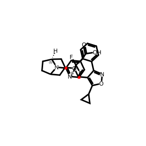 O=C(O)c1ccnc(N2C3CC[C@H]2CC(OCc2c(-c4ccccc4C(F)(F)F)noc2C2CC2)C3)c1